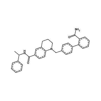 CC(NC(=O)c1ccc2c(c1)CCCN2Cc1ccc(-c2ccccc2C(N)=O)cc1)c1ccccc1